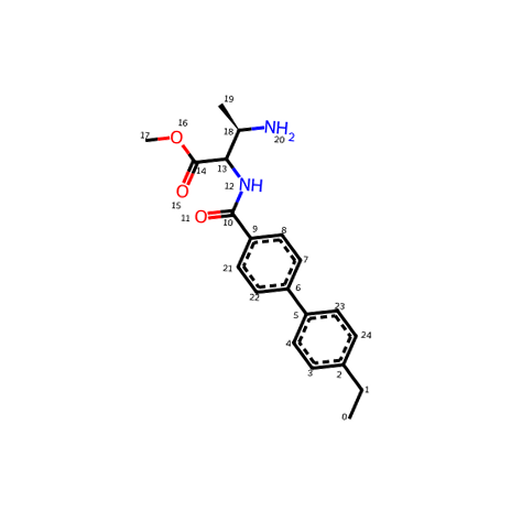 CCc1ccc(-c2ccc(C(=O)NC(C(=O)OC)[C@@H](C)N)cc2)cc1